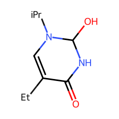 CCC1=CN(C(C)C)C(O)NC1=O